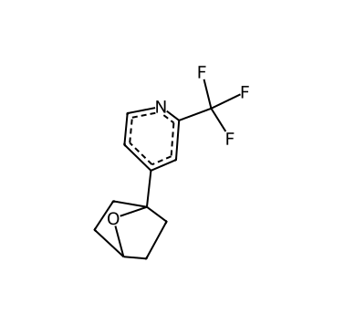 FC(F)(F)c1cc(C23CCC(CC2)O3)ccn1